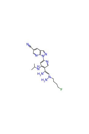 CC(C)Nc1cc(-n2ncc3cc(C#N)cnc32)ncc1/C(N)=C/N(N)CCCCF